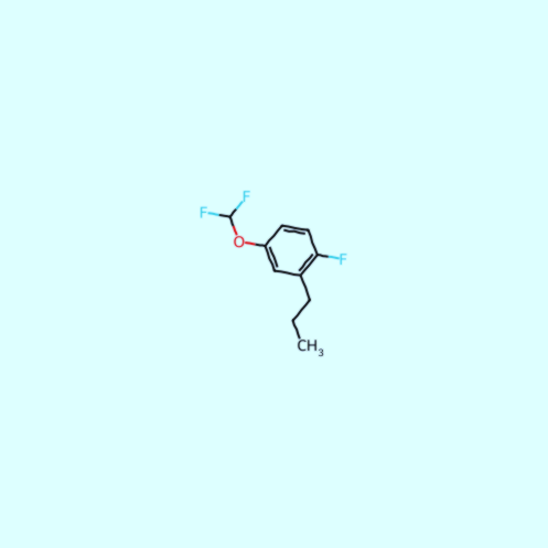 CCCc1cc(OC(F)F)ccc1F